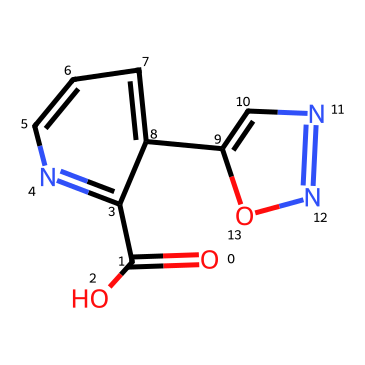 O=C(O)c1ncccc1-c1cnno1